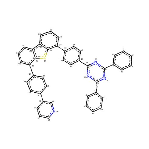 c1ccc(-c2nc(-c3ccccc3)nc(-c3ccc(-c4cccc5c4sc4c(-c6ccc(-c7cccnc7)cc6)cccc45)cc3)n2)cc1